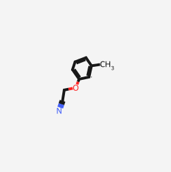 Cc1[c]c(OCC#N)ccc1